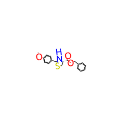 COc1ccc(C2N[C@H](C(=O)OCc3ccccc3)CS2)cc1